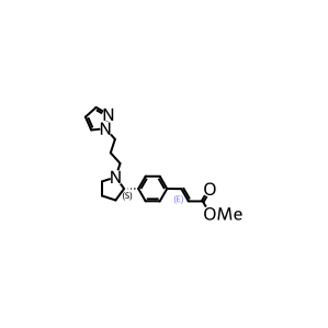 COC(=O)/C=C/c1ccc([C@@H]2CCCN2CCCn2cccn2)cc1